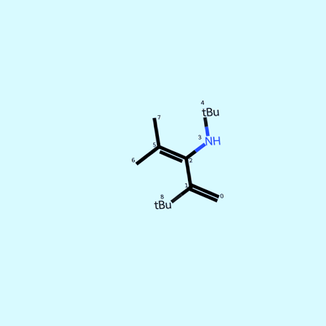 C=C(C(NC(C)(C)C)=C(C)C)C(C)(C)C